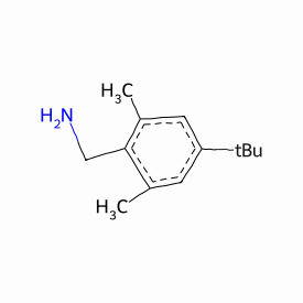 Cc1cc(C(C)(C)C)cc(C)c1CN